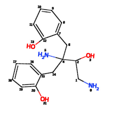 NCC(O)C(N)(Cc1ccccc1O)Cc1ccccc1O